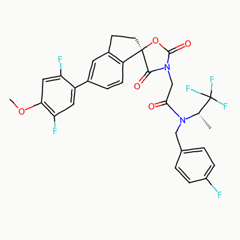 COc1cc(F)c(-c2ccc3c(c2)CC[C@@]32OC(=O)N(CC(=O)N(Cc3ccc(F)cc3)[C@@H](C)C(F)(F)F)C2=O)cc1F